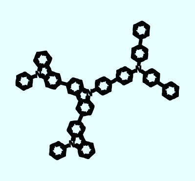 c1ccc(-c2ccc(N(c3ccc(-c4ccccc4)cc3)c3ccc(-c4ccc(-n5c6ccc(-c7ccc8c(c7)c7ccccc7n8-c7ccccc7)cc6c6cc(-c7ccc8c(c7)c7ccccc7n8-c7ccccc7)ccc65)cc4)cc3)cc2)cc1